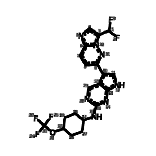 FC(F)c1cnc2ccc(-c3c[nH]c4nc(NC5CCC(OC(F)(F)F)CC5)ncc34)nn12